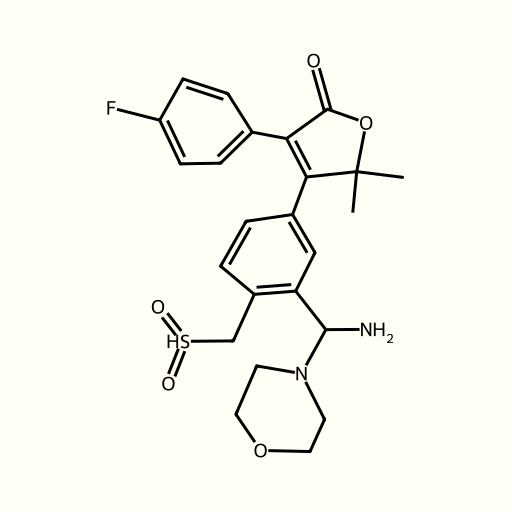 CC1(C)OC(=O)C(c2ccc(F)cc2)=C1c1ccc(C[SH](=O)=O)c(C(N)N2CCOCC2)c1